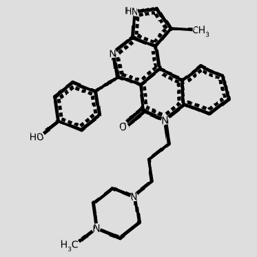 Cc1c[nH]c2nc(-c3ccc(O)cc3)c3c(=O)n(CCCN4CCN(C)CC4)c4ccccc4c3c12